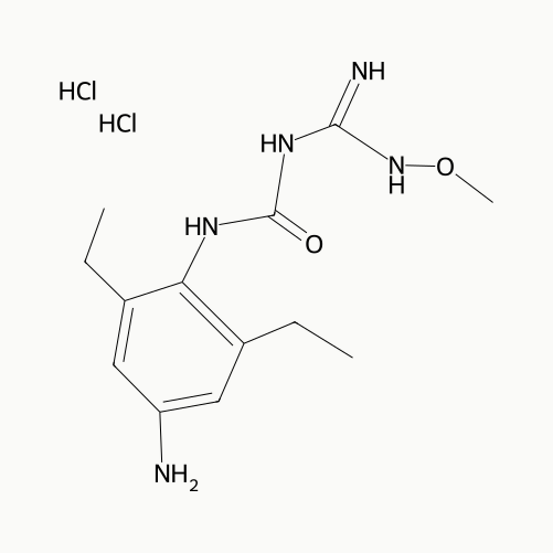 CCc1cc(N)cc(CC)c1NC(=O)NC(=N)NOC.Cl.Cl